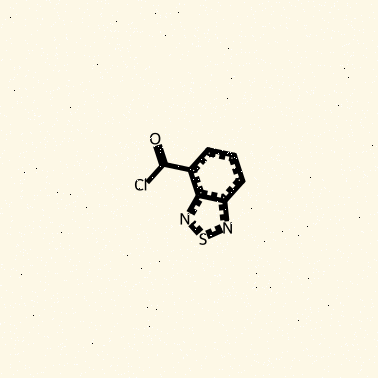 O=C(Cl)c1cccc2nsnc12